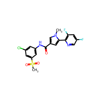 Cn1cc(C(=O)Nc2cc(Cl)cc(S(C)(=O)=O)c2)cc1-c1ncc(F)cc1F